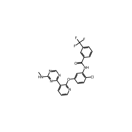 CNc1ncnc(-c2cccnc2Oc2ccc(Cl)c(NC(=O)c3cccc(C(F)(F)F)c3)c2)n1